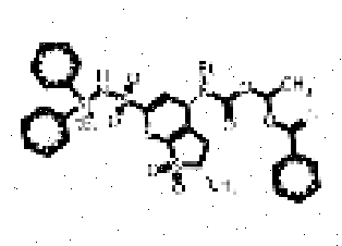 CCN(C(=O)OC(C)OC(=O)c1ccccc1)[C@H]1C=C(S(=O)(=O)N[Si](c2ccccc2)(c2ccccc2)C(C)(C)C)SC2=C1C[C@H](C)S2(=O)=O